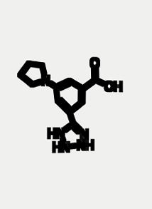 O=C(O)c1cc(C2=NNNN2)cc(N2CCCC2)c1